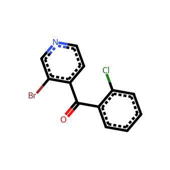 O=C(c1ccccc1Cl)c1ccncc1Br